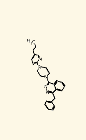 CCCc1cnc(N2CCN(c3nnc(Cc4ccccc4)c4ccccc34)CC2)nc1